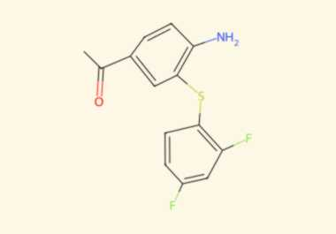 CC(=O)c1ccc(N)c(Sc2ccc(F)cc2F)c1